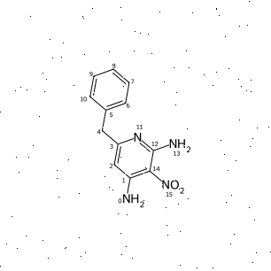 Nc1cc(Cc2ccccc2)nc(N)c1[N+](=O)[O-]